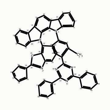 Cc1cc(-n2c3ccccc3c3ccc4c5ccccc5n(-c5cccc6nc(-c7ccccc7)oc56)c4c32)ccc1-c1nc(-c2ccccc2)nc(-c2ccccc2)n1